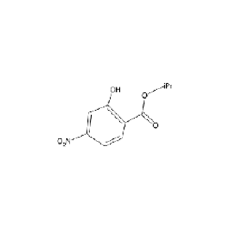 CC(C)OC(=O)c1ccc([N+](=O)[O-])cc1O